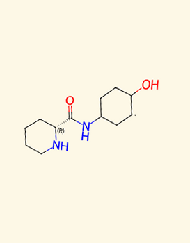 O=C(NC1C[CH]C(O)CC1)[C@H]1CCCCN1